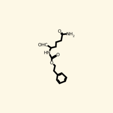 NC(=O)CCCC(C=O)NC(=O)OCCc1ccccc1